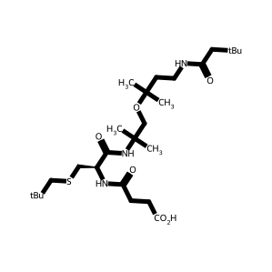 CC(C)(C)CSC[C@H](NC(=O)CCC(=O)O)C(=O)NC(C)(C)COC(C)(C)CCNC(=O)CC(C)(C)C